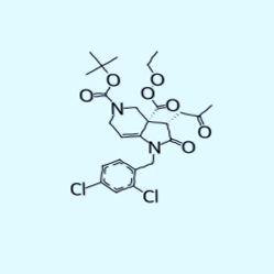 CCOOC(=O)[C@@]12CN(C(=O)OC(C)(C)C)CC=C1N(Cc1ccc(Cl)cc1Cl)C(=O)[C@H]2CC(C)=O